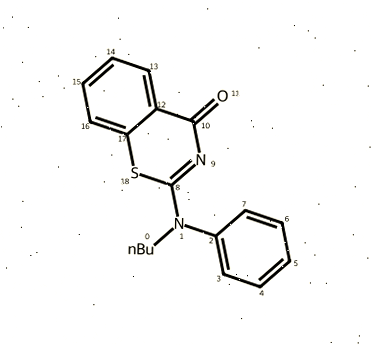 CCCCN(c1ccccc1)c1nc(=O)c2ccccc2s1